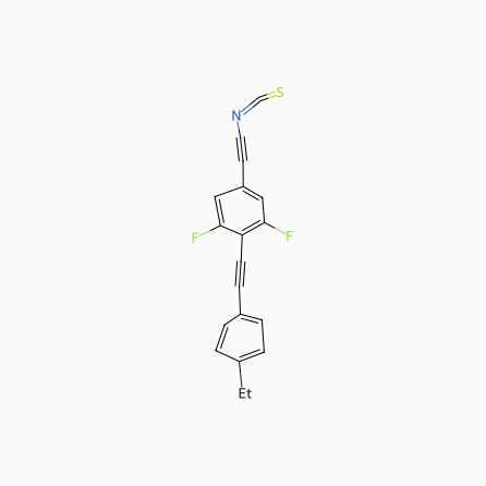 CCc1ccc(C#Cc2c(F)cc(C#CN=C=S)cc2F)cc1